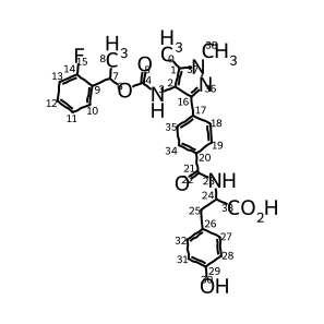 Cc1c(NC(=O)OC(C)c2ccccc2F)c(-c2ccc(C(=O)NC(Cc3ccc(O)cc3)C(=O)O)cc2)nn1C